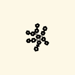 CC(C)(c1ccccc1)c1ccc2c(c1)N(c1ccc(-c3ccccc3)cc1)c1cc(-n3c4ccc(-c5ccccc5)cc4c4cc(-c5ccccc5)ccc43)cc3c1B2c1cc(-c2ccccc2)ccc1N3c1ccc(-c2ccccc2)cc1